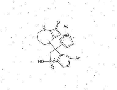 CC(=O)c1cccc(C(CP(=O)(O)O)(c2cccc(C(C)=O)c2)N2CCCNc3c2c(=O)c3=O)c1